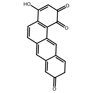 O=C1C=c2cc3ccc4c(c3cc2=CC1)C(=O)C(=O)C=C4O